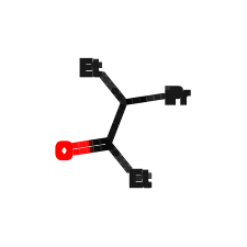 [CH2]CC(=O)C(CC)C(C)C